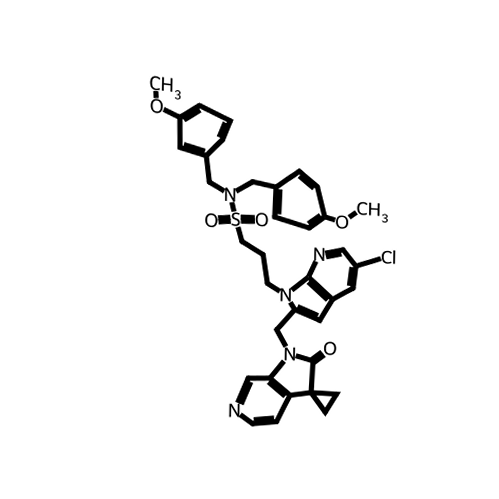 COc1ccc(CN(Cc2cccc(OC)c2)S(=O)(=O)CCCn2c(CN3C(=O)C4(CC4)c4ccncc43)cc3cc(Cl)cnc32)cc1